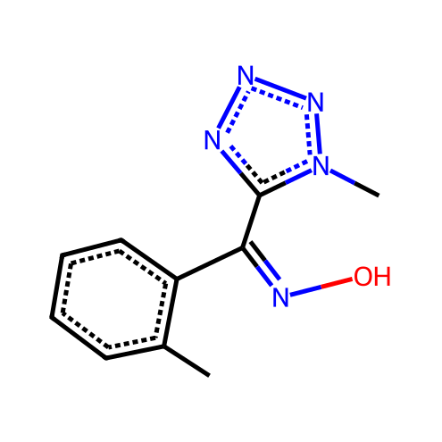 Cc1ccccc1C(=NO)c1nnnn1C